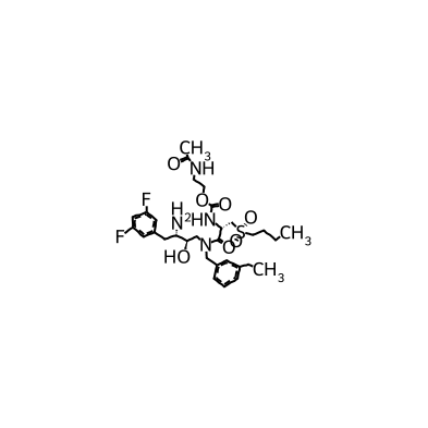 CCCCS(=O)(=O)C[C@@H](NC(=O)OCCNC(C)=O)C(=O)N(Cc1cccc(CC)c1)C[C@@H](O)[C@@H](N)Cc1cc(F)cc(F)c1